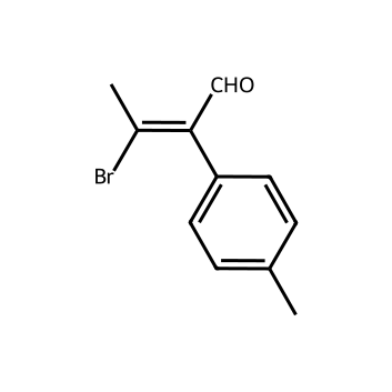 CC(Br)=C(C=O)c1ccc(C)cc1